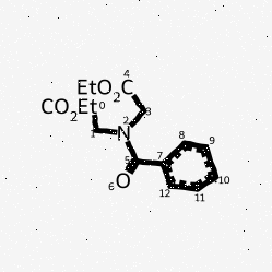 CCOC(=O)CN(CC(=O)OCC)C(=O)c1cc[c]cc1